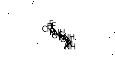 CCNc1cc(C(=O)NC(C)c2ncc(C(=O)Nc3cc(C(F)(F)F)c(Cl)cn3)s2)ncn1